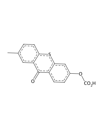 Cc1ccc2sc3cc(OC(=O)O)ccc3c(=O)c2c1